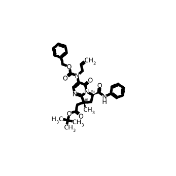 C=CCN(C(=O)OCc1ccccc1)c1cnc2n(c1=O)[C@@H](C(=O)Nc1ccccc1)C[C@]2(C)CC(=O)OC(C)(C)C